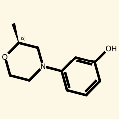 C[C@H]1CN(c2cccc(O)c2)CCO1